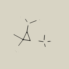 CC1(C)CC1B(O)O.[Na+].[O-][I+3]([O-])([O-])[O-]